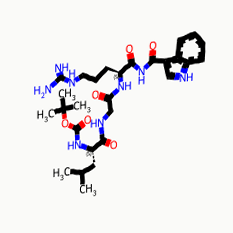 CC(C)C[C@H](NC(=O)OC(C)(C)C)C(=O)NCC(=O)N[C@@H](CCCNC(=N)N)C(=O)NC(=O)c1c[nH]c2ccccc12